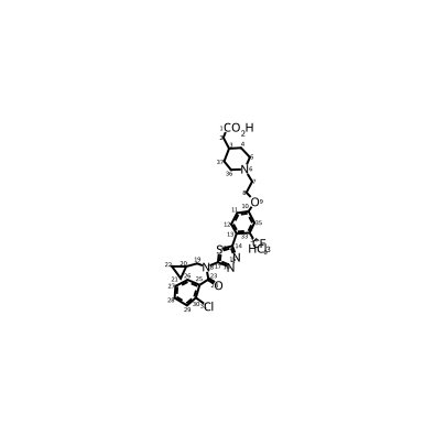 Cl.O=C(O)CC1CCN(CCOc2ccc(-c3nnc(N(CC4CC4)C(=O)c4ccccc4Cl)s3)c(C(F)(F)F)c2)CC1